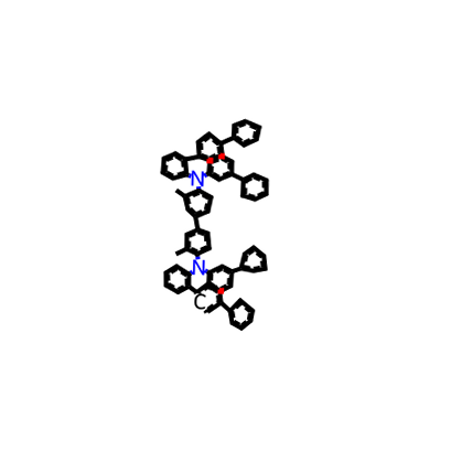 Cc1cc(-c2ccc(N(c3cccc(-c4ccccc4)c3)c3ccccc3-c3ccc(-c4ccccc4)cc3)c(C)c2)ccc1N(c1cccc(-c2ccccc2)c1)c1ccccc1-c1ccc(-c2ccccc2)cc1